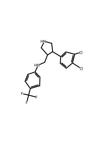 FC(F)(F)c1ccc(NCC2CNCC2c2ccc(Cl)c(Cl)c2)cc1